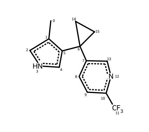 Cc1c[nH]cc1C1(c2ccc(C(F)(F)F)nc2)CC1